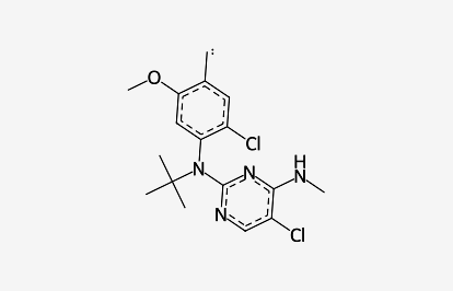 [CH]c1cc(Cl)c(N(c2ncc(Cl)c(NC)n2)C(C)(C)C)cc1OC